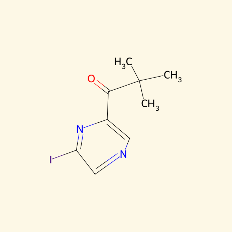 CC(C)(C)C(=O)c1cncc(I)n1